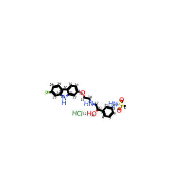 CS(=O)(=O)Nc1cccc(C(O)CNCCOc2ccc3c(c2)[nH]c2cc(F)ccc23)c1.Cl